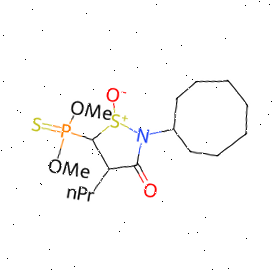 CCCC1C(=O)N(C2CCCCCCC2)[S+]([O-])C1P(=S)(OC)OC